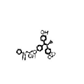 Oc1ccc(C(=C(c2ccc3c(c2)OCO3)C2CC2)c2ccc(OCC(O)CNC3CCCC3)cc2)cc1